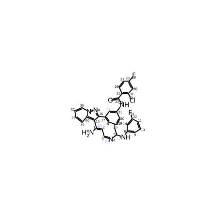 N/C(=C\C=N/C(I)Nc1cccc(F)c1)c1c(-c2cccc(NC(=O)c3ccc(F)cc3Cl)c2)nn2ccccc12